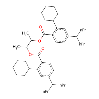 CCCC(CCC)c1ccc(C(=O)OC(C)C(C)OC(=O)c2ccc(C(CCC)CCC)cc2C2CCCCC2)c(C2CCCCC2)c1